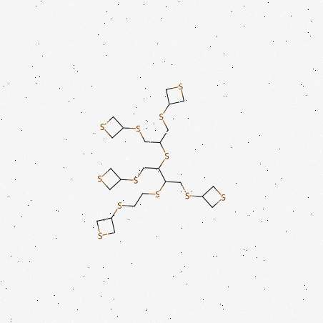 C(CSC(CSC1CSC1)C(CSC1CSC1)SC(CSC1CSC1)CSC1CSC1)SC1CSC1